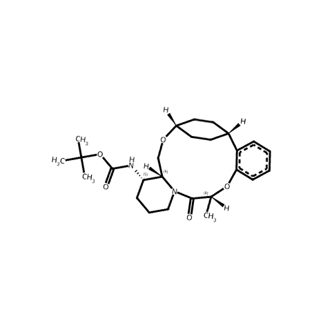 C[C@H]1Oc2ccccc2[C@H]2CC[C@H](CC2)OC[C@H]2[C@@H](NC(=O)OC(C)(C)C)CCCN2C1=O